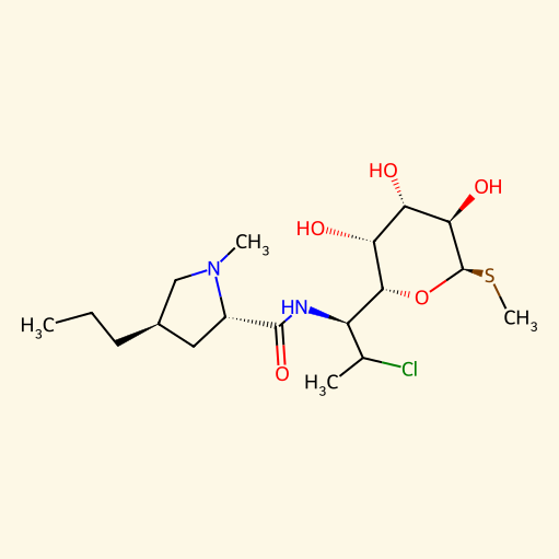 CCC[C@@H]1C[C@@H](C(=O)N[C@H](C(C)Cl)[C@H]2O[C@H](SC)[C@H](O)[C@@H](O)[C@H]2O)N(C)C1